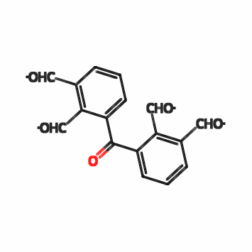 O=[C]c1cccc(C(=O)c2cccc([C]=O)c2[C]=O)c1[C]=O